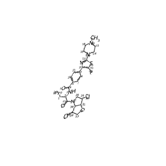 CC(C)CC(NC(=O)c1ccc(-c2nc(N3CCN(C)CC3)sc2F)cc1)C(=O)N1CC(Cl)C2OCC(=O)C21